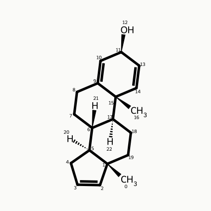 C[C@@]12C=CC[C@H]1[C@@H]1CCC3=C[C@@H](O)C=C[C@]3(C)[C@H]1CC2